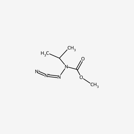 COC(=O)N(N=[N+]=[N-])C(C)C